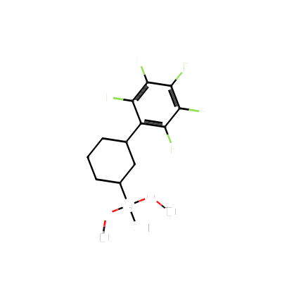 CCO[Si](C)(OCC)C1CCCC(c2c(F)c(F)c(F)c(F)c2F)C1